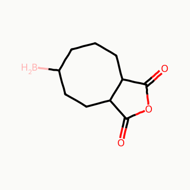 BC1CCCC2C(=O)OC(=O)C2CC1